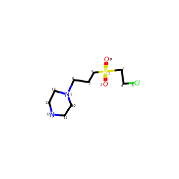 O=S(=O)(CCCl)CCCN1CC[N]CC1